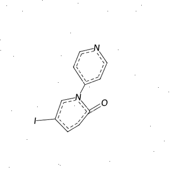 O=c1ccc(I)cn1-c1ccncc1